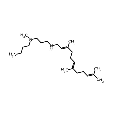 CC(C)=CCCC(C)=CCCC(C)=CCNCCCN(C)CCCN